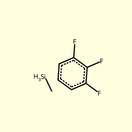 C[SiH3].Fc1cccc(F)c1F